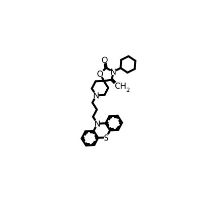 C=C1N(C2CCCCC2)C(=O)OC12CCN(CCCN1c3ccccc3Sc3ccccc31)CC2